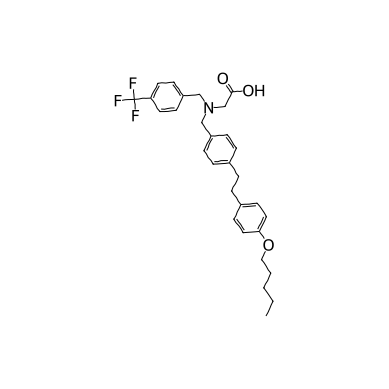 CCCCCOc1ccc(CCc2ccc(CN(CC(=O)O)Cc3ccc(C(F)(F)F)cc3)cc2)cc1